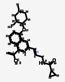 C=C(c1nc(/C=C/CNC(=O)C2CC2)cc2c(O[C@@H]3CCN(C)C[C@@H]3F)cccc12)C(F)(F)F